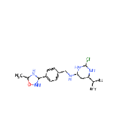 CCCC(CC)C1CC(NCc2ccc(C3NOC(C)N3)cc2)NC(Cl)N1